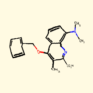 Cc1c(C(=O)O)nc2c(N(C)C)cccc2c1OCc1ccccc1